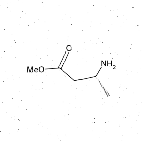 COC(=O)C[C@@H](C)N